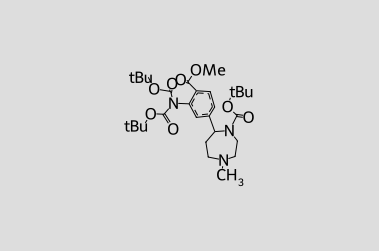 COC(=O)c1ccc(C2CCN(C)CCN2C(=O)OC(C)(C)C)cc1N(C(=O)OC(C)(C)C)C(=O)OC(C)(C)C